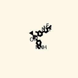 Cc1cc(-c2ccc(C(C)(F)F)nn2)ccc1[C@H]1[C@@H](C2CC2)C(=O)N1c1ccc2[nH]cnc2c1